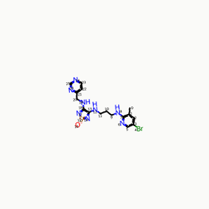 Cc1cc(Br)cnc1NCCCNc1n[s+]([O-])nc1NCc1ccncn1